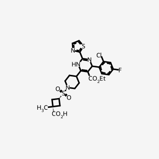 CCOC(=O)C1=C(C2CCN(S(=O)(=O)[C@H]3C[C@@](C)(C(=O)O)C3)CC2)NC(c2nccs2)=NC1c1ccc(F)cc1Cl